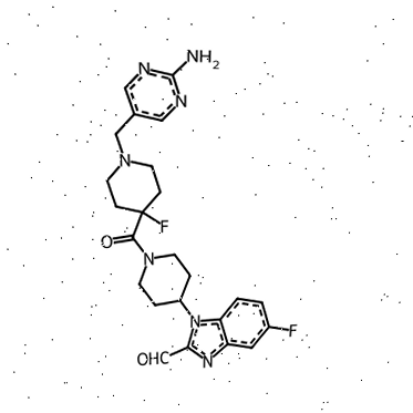 Nc1ncc(CN2CCC(F)(C(=O)N3CCC(n4c(C=O)nc5cc(F)ccc54)CC3)CC2)cn1